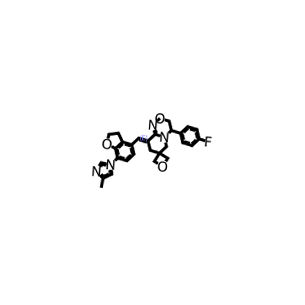 Cc1cn(-c2ccc(/C=C3\CC4(COC4)CN4C3=NOCC4c3ccc(F)cc3)c3c2OCC3)cn1